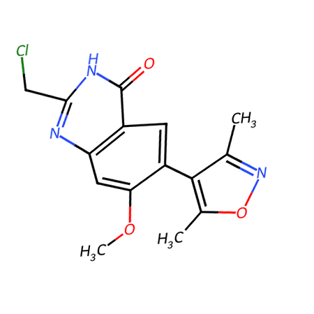 COc1cc2nc(CCl)[nH]c(=O)c2cc1-c1c(C)noc1C